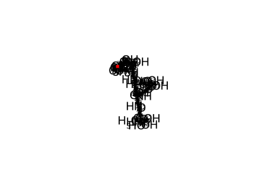 CC(=O)N[C@@H]1C(OCCCCC(=O)NCCCC[C@H](NC(=O)CCCCOC2OC(CO)[C@H](O)[C@H](O)[C@@H]2NC(C)=O)C(=O)NCCCCCC(=O)NCCCCCC(=O)N2C[C@H](O)C[C@H]2COP(=O)(O)O[C@@H]2C[C@@H](COP(=O)(S)OO)N(C(=O)CCCS)C2)OC(CO)[C@H](O)[C@@H]1O